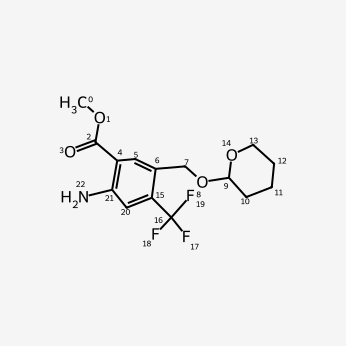 COC(=O)c1cc(COC2CCCCO2)c(C(F)(F)F)cc1N